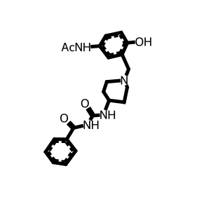 CC(=O)Nc1ccc(O)c(CN2CCC(NC(=O)NC(=O)c3ccccc3)CC2)c1